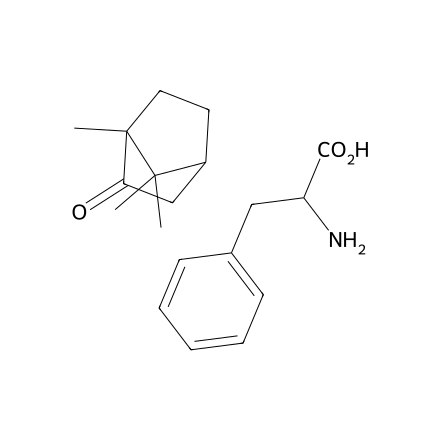 CC12CCC(CC1=O)C2(C)C.NC(Cc1ccccc1)C(=O)O